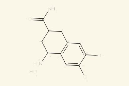 Cl.NC(=O)C1Cc2cc(Cl)c(Cl)cc2C(N)C1